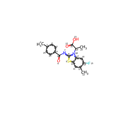 Cc1ccc(C(=O)/N=c2\sc3cc(C)c(F)cc3n2C(C)C(=O)O)cc1